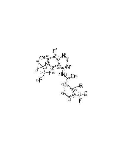 O=C(Nc1ncnc2c(F)c(=O)n(C3(C(F)F)CC3)cc12)c1cccc(C(F)F)c1F